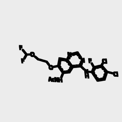 CC(=O)Nc1cc2c(Nc3ccc(Cl)c(Cl)c3F)ncnc2cc1OCCOC(F)F